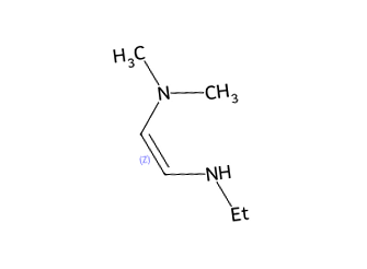 CCN/C=C\N(C)C